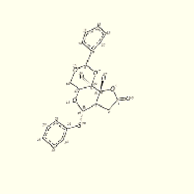 O=C1CC2[C@@H](O1)[C@@H]1OC(c3ccccc3)OCC1O[C@H]2Sc1ccccc1